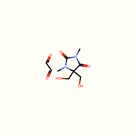 CN1C(=O)N(C)C(CO)(CO)C1=O.O=CC=O